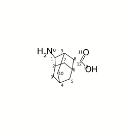 NC1C2CC3CC(C2)CC1C3.O=CO